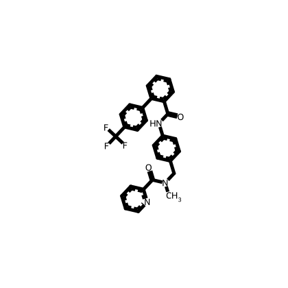 CN(Cc1ccc(NC(=O)c2ccccc2-c2ccc(C(F)(F)F)cc2)cc1)C(=O)c1ccccn1